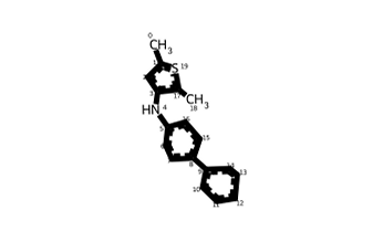 Cc1cc(Nc2ccc(-c3ccccc3)cc2)c(C)s1